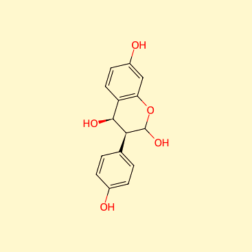 Oc1ccc([C@@H]2C(O)Oc3cc(O)ccc3[C@@H]2O)cc1